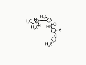 C=Nn1c(C#Cc2cc(C(=O)Nc3ccc(CN4CCN(C)CC4)c(C4CC4)c3)ccc2C)cnc1/C=C\C